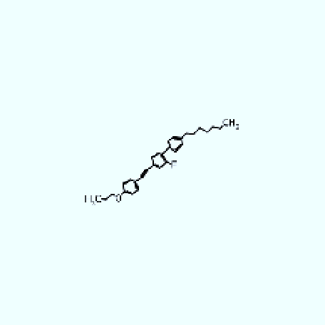 CCCCCCCc1ccc(-c2ccc(C#Cc3ccc(OCCC)cc3)cc2F)cc1